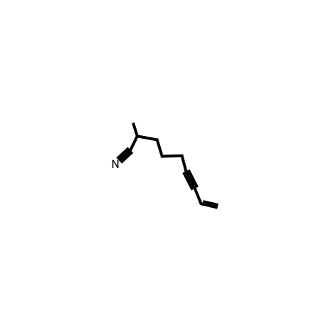 C=CC#CCCCC(C)C#N